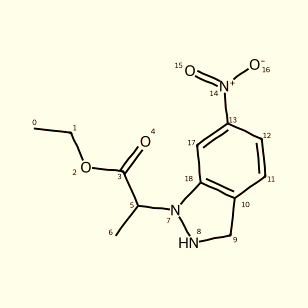 CCOC(=O)C(C)N1NCc2ccc([N+](=O)[O-])cc21